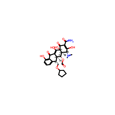 CN(C)[C@H]1C(O)=C(C(N)=O)C(=O)[C@@]2(O)C(O)=C3C(=O)c4c(O)cccc4[C@@H](COC4CCCC4)[C@@H]3[C@@H](OC=O)[C@H]12